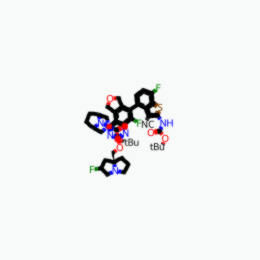 CC(C)(C)OC(=O)Nc1sc2c(F)ccc(-c3c4c(c5c(N6C7CCC6CN(C(=O)OC(C)(C)C)C7)nc(OC[C@@]67CCCN6CC(F)C7)nc5c3F)COC4)c2c1C#N